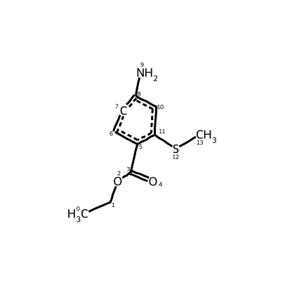 CCOC(=O)c1ccc(N)cc1SC